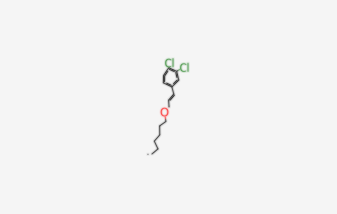 [CH2]CCCCCOCC=Cc1ccc(Cl)c(Cl)c1